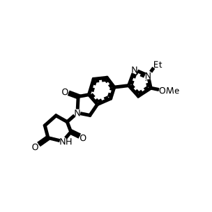 CCn1nc(-c2ccc3c(c2)CN(C2CCC(=O)NC2=O)C3=O)cc1OC